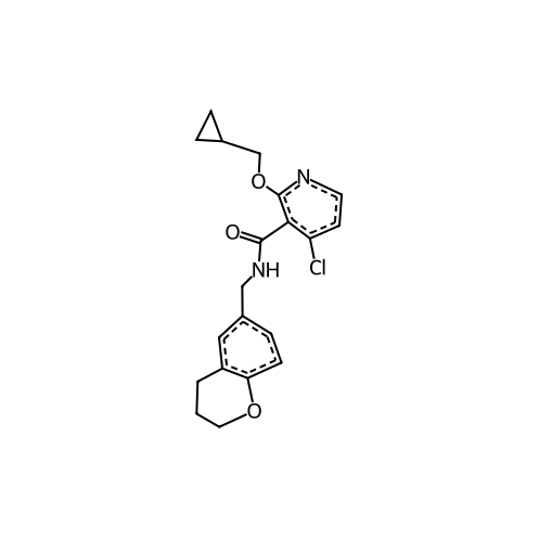 O=C(NCc1ccc2c(c1)CCCO2)c1c(Cl)ccnc1OCC1CC1